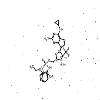 CCOC(=O)[C@H](C)NP(=O)(OC[C@H]1O[C@@H](n2cnc3c(NC4CC4)nc(N)nc32)[C@@](F)(C(F)(F)F)[C@@H]1O)Oc1ccccc1